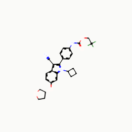 C[C@@H](OC(=O)Nc1ccc(-c2c(C#N)c3ccc(O[C@@H]4CCOC4)cc3n2C2CCC2)cc1)C(F)(F)F